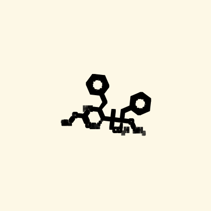 CC(C)(C)OC(=O)N[C@@H](Cc1ccccc1)[C@@H](C(C)(C)C)C(C)(C)[C@@](Cc1ccccc1)(O[SiH3])C(=O)O